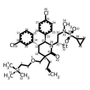 C=CC[C@@]1(COCCS(C)(C)C)C[C@H](c2cccc(Cl)c2)[C@@H](c2ccc(Cl)cc2)N([C@@H](CC)CN(C)S(=O)(=O)C2CC2)C1=O